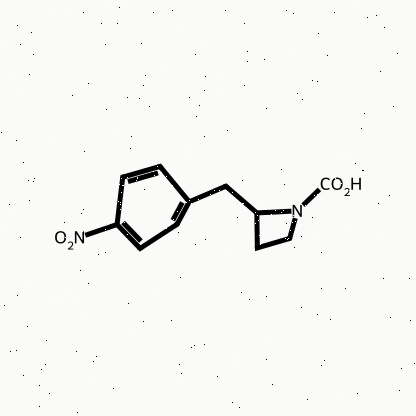 O=C(O)N1CCC1Cc1ccc([N+](=O)[O-])cc1